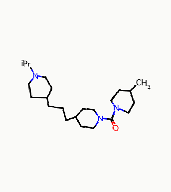 CC1CCN(C(=O)N2CCC(CCCC3CCN(C(C)C)CC3)CC2)CC1